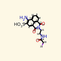 Nc1c(S(=O)(=O)O)cc2c3c(cccc13)C(=O)N(CCNC(=O)CI)C2=O